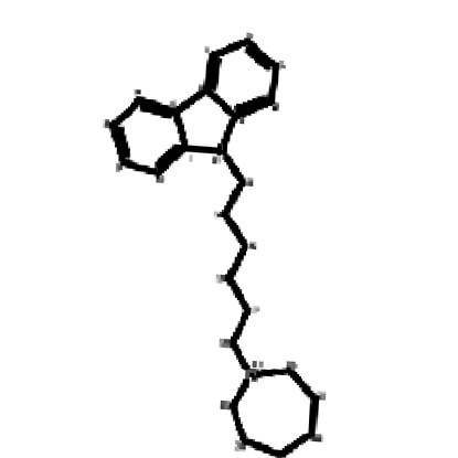 c1ccc2c(c1)c1ccccc1n2CCCCCCN1CCCCCC1